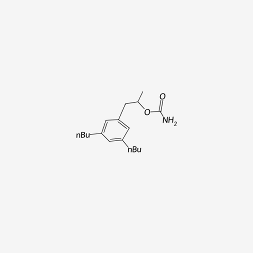 CCCCc1cc(CCCC)cc(CC(C)OC(N)=O)c1